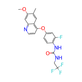 COc1cc2nccc(Oc3ccc(NC(=O)NCC(F)(F)F)c(F)c3)c2cc1C